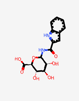 O=C(NC1O[C@H](C(=O)O)[C@@H](O)[C@H](O)[C@H]1O)c1cc2ccccc2[nH]1